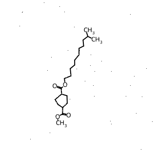 COC(=O)C1CCC(C(=O)OCCCCCCCCCC(C)C)CC1